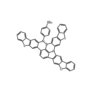 CC(C)(C)c1ccc(N2B3c4cc5c(cc4-n4c6cc7c(cc6c6ccc(c3c64)-c3cc4sc6ccccc6c4cc32)oc2ccccc27)sc2ccccc25)cc1